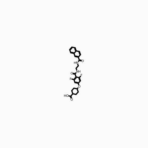 O=C(NCCNC(=O)c1c(F)cc(OC2CCC(C(=O)O)CC2)cc1F)c1ccc2ccccc2c1